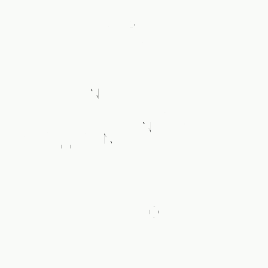 c1ccc2c(c1)ccc1oc3cc4c(cc3c12)c1ccccc1n4-c1nc2oc3ccccc3c2nc1-c1cccc2sc3ccccc3c12